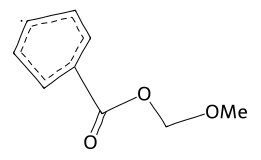 COCOC(=O)c1cc[c]cc1